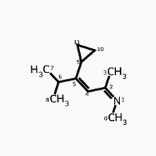 C/N=C(C)\C=C(\C(C)C)C1CC1